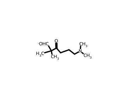 CN(C)CCCC(=O)C(C)(C)[C]=O